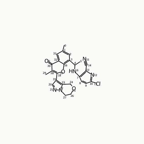 Cc1cc(C(C)Nc2ccc(Cl)nc2C#N)c2oc(-c3cnn4c3COCC4)c(C)c(=O)c2c1